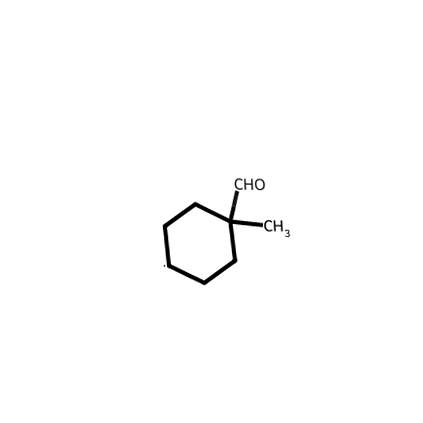 CC1(C=O)CC[CH]CC1